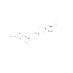 Cc1cccc(N2CCCC(C(=O)NCCc3cncn3Cc3ccc(C#N)cc3)C2)c1